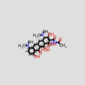 CC(=O)NC(=O)C1=C(O)[C@@H](N(C)C)C2CC3Cc4c(N(C)C)ccc(O)c4C(=O)C3=C(O)C2C1(O)O